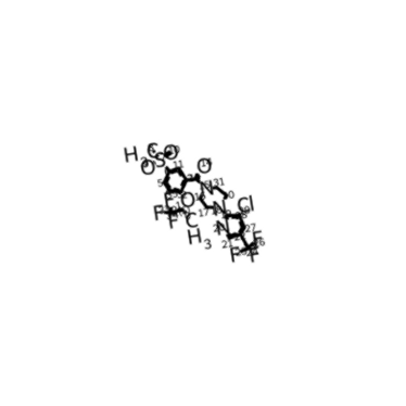 C[C@H](Oc1ccc(S(C)(=O)=O)cc1C(=O)N1CCN(c2ncc(C(F)(F)F)cc2Cl)CC1)C(F)(F)F